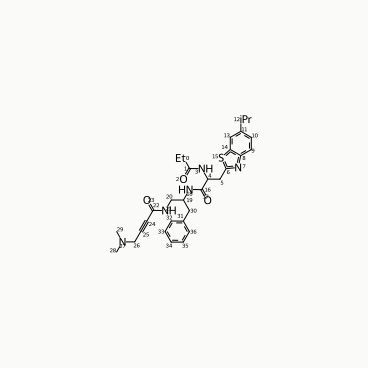 CCC(=O)NC(Cc1nc2ccc(C(C)C)cc2s1)C(=O)NC(CNC(=O)C#CCN(C)C)Cc1ccccc1